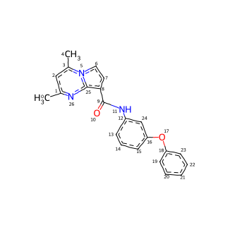 Cc1cc(C)n2ccc(C(=O)Nc3cccc(Oc4ccccc4)c3)c2n1